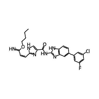 CCCCOC(=N)/C=C\c1nc(C(=O)Nc2nc3cc(-c4cc(F)cc(Cl)c4)ccc3[nH]2)c[nH]1